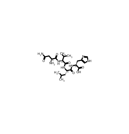 CC(C)C[C@H](NC(=O)[C@@H](NC(=O)[C@@H](N)CC(N)=O)C(C)C)C(=O)N[C@@H](Cc1c[nH]cn1)C(=O)O